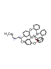 C=N/C=C\C=C(/C)c1ccc2c(c1)N1c3ccccc3Oc3ccccc3[Si]13c1ccccc1Oc1ccccc1N3c1ccccc1O2